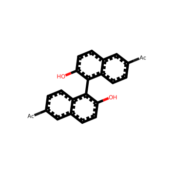 CC(=O)c1ccc2c(-c3c(O)ccc4cc(C(C)=O)ccc34)c(O)ccc2c1